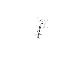 COc1cc(OC)nc(NC(=O)/N=N/S(=O)(=O)C2OCCN2C)n1